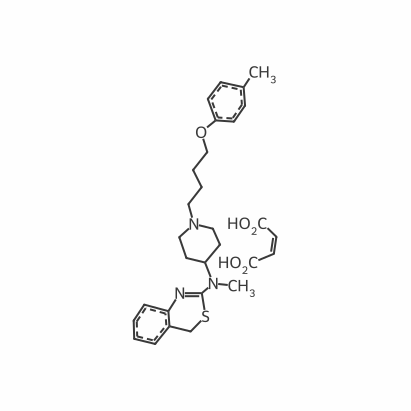 Cc1ccc(OCCCCN2CCC(N(C)C3=Nc4ccccc4CS3)CC2)cc1.O=C(O)/C=C\C(=O)O